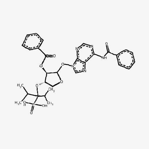 CC(C)C(O[C@H]1COC(On2cnc3c(NC(=O)c4ccccc4)ncnc32)[C@@H]1OC(=O)c1ccccc1)(C(C)C)P(=O)(O)O